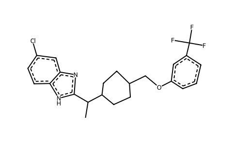 CC(c1nc2cc(Cl)ccc2[nH]1)C1CCC(COc2cccc(C(F)(F)F)c2)CC1